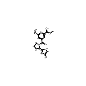 COC(=O)c1cc(C(=O)N2CCCC2c2nc(C)cs2)cc(OC)n1